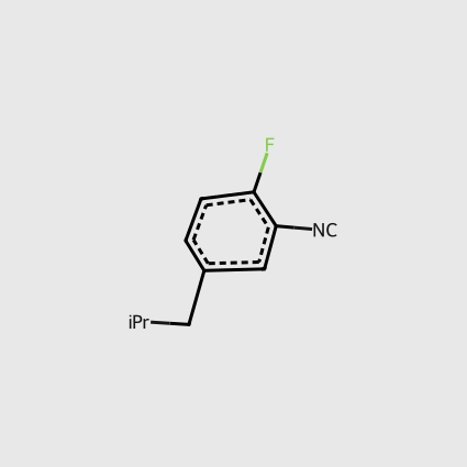 [C-]#[N+]c1cc(CC(C)C)ccc1F